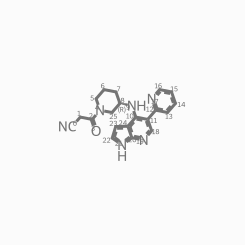 N#CCC(=O)N1CCC[C@@H](Nc2c(-c3ccccn3)cnc3[nH]ccc23)C1